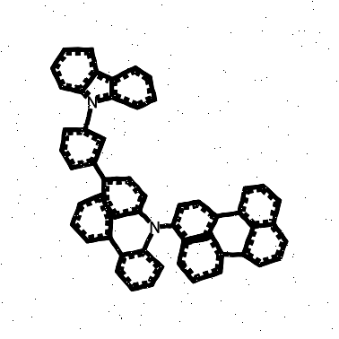 c1ccc(-c2ccccc2N(c2ccc(-c3cccc(-n4c5ccccc5c5ccccc54)c3)cc2)c2ccc(-c3cccc4cccc(-c5ccccc5)c34)cc2)cc1